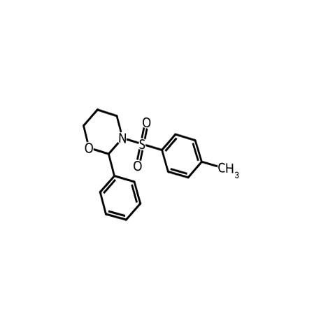 Cc1ccc(S(=O)(=O)N2CCCOC2c2ccccc2)cc1